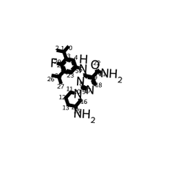 CC(C)c1cc(Nc2nc(N3CCCC(N)C3)ncc2C(N)=O)cc(C(C)C)c1F